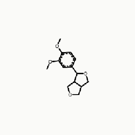 COc1ccc(C2OCC3COCC32)cc1OC